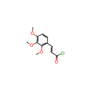 COc1ccc(C=CC(=O)Cl)c(OC)c1OC